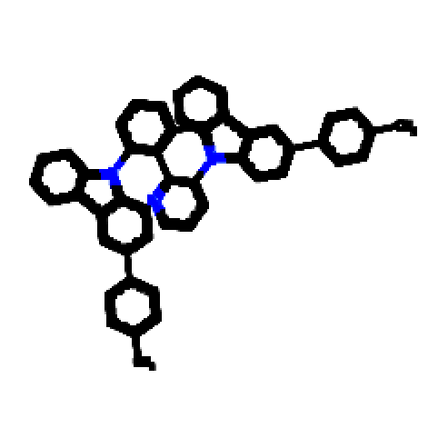 Cc1ccc(-c2ccc3c(c2)c2ccccc2n3-c2cccnc2-c2c(C#N)cccc2-n2c3ccccc3c3cc(-c4ccc(C)cc4)ccc32)cc1